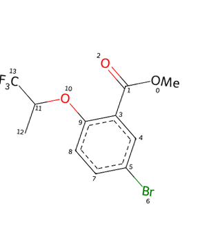 COC(=O)c1cc(Br)ccc1OC(C)C(F)(F)F